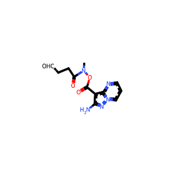 CN(OC(=O)c1c(N)nn2cccnc12)C(=O)CCC=O